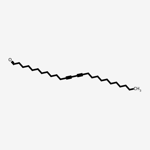 CCCCCCCCCCCC#CC#CCCCCCCCCCC[C]=O